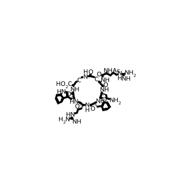 CC(=O)N[C@@H](CCCNC(=N)N)C(=O)N[C@H]1CCC(=O)NCCCC(C(=O)O)NC(=O)[C@H](Cc2c[nH]c3ccccc23)NC(=O)[C@H](CCCNC(=N)N)NC(=O)[C@@H](Cc2ccccc2)NC(=O)[C@H](CCN)NC1=O